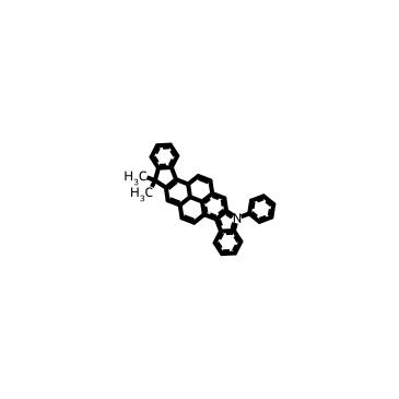 CC1(C)C2=C(c3ccccc31)C1C=Cc3cc4c(c5c3C1C(=C2)C=C5)c1ccccc1n4-c1ccccc1